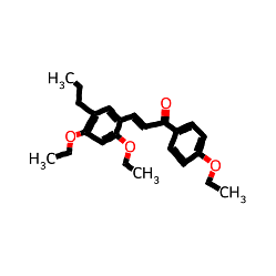 CCCc1cc(C=CC(=O)c2ccc(OCC)cc2)c(OCC)cc1OCC